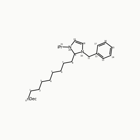 CCCCCCCCCCCCCCCCCCC1N(Cc2ccccc2)C=CN1C(C)C